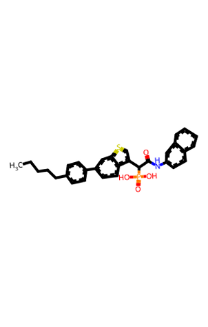 CCCCCc1ccc(-c2ccc3c(C(C(=O)Nc4ccc5ccccc5c4)P(=O)(O)O)csc3c2)cc1